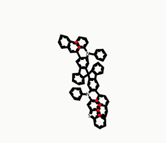 c1ccc(N(c2ccccc2)c2cc3c(cc2-c2ccc4ccccc4c2)-c2ccccc2C32c3ccccc3-c3cc(-c4ccc5ccccc5c4)c(N(c4ccccc4)c4ccc5c(c4)sc4ccccc45)cc32)cc1